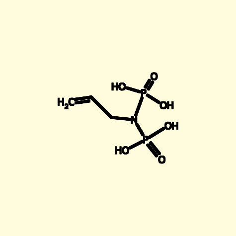 C=CCN(P(=O)(O)O)P(=O)(O)O